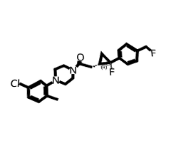 Cc1ccc(Cl)cc1N1CCN(C(=O)C[C@@H]2C[C@@]2(F)c2ccc(CF)cc2)CC1